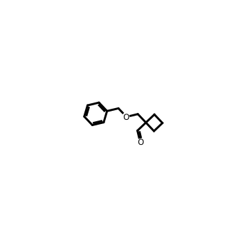 O=CC1(COCc2ccccc2)CCC1